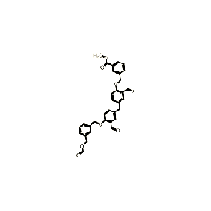 COC(=O)c1cccc(COc2ccc(Cc3ccc(OCc4cccc(COC=O)c4)c(C=O)c3)cc2C=O)c1